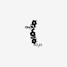 CCOC(=O)c1ccc(S(=O)(=O)c2ccc(CCN(Cc3ccccc3)C(=O)OC(C)(C)C)cc2)cc1